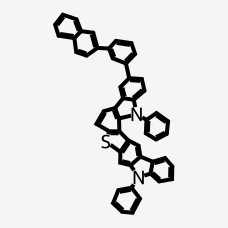 c1ccc(-n2c3ccccc3c3cc4c(cc32)sc2ccc3c5cc(-c6cccc(-c7ccc8ccccc8c7)c6)ccc5n(-c5ccccc5)c3c24)cc1